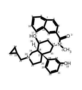 CN(C(=O)c1ccc2ccccc2c1)[C@H]1CC(O)[C@@H]2CN(CC3CC3)CC[C@@]2(c2cccc(O)c2)C1